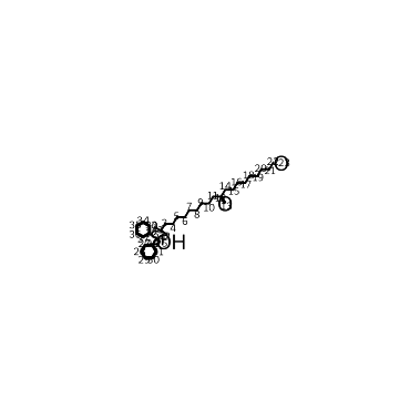 CC(C)(CCCCCCCCCC(=O)CCCCCCCCC=O)[Si](O)(c1ccccc1)c1ccccc1